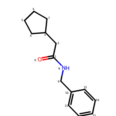 O=C(CC1CCCC1)NCc1ccccc1